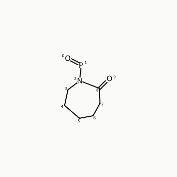 O=PN1CCCCCC1=O